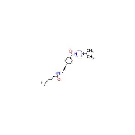 CCCCC(=O)NCC#Cc1ccc(C(=O)N2CCN(C(C)C)CC2)cc1